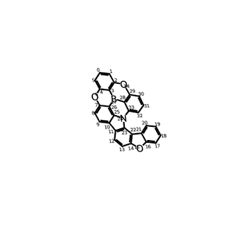 c1cc2c3c(c1)Oc1ccc4c5ccc6oc7ccccc7c6c5n5c4c1B3c1c(cccc1-5)O2